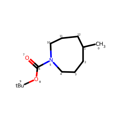 CC1CCCN(C(=O)OC(C)(C)C)CCC1